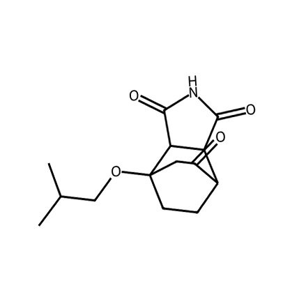 CC(C)COC12CCC(C(=O)C1)C1C(=O)NC(=O)C12